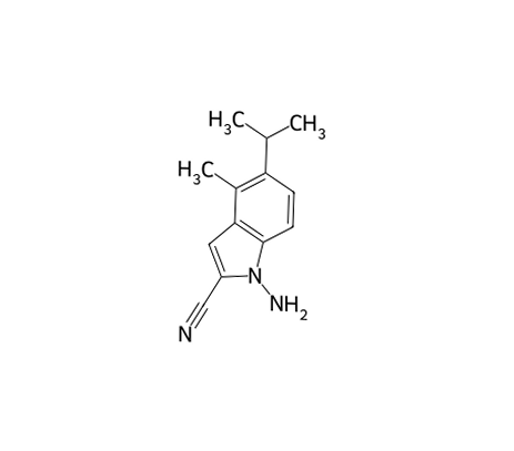 Cc1c(C(C)C)ccc2c1cc(C#N)n2N